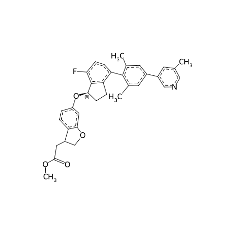 COC(=O)CC1COc2cc(O[C@@H]3CCc4c(-c5c(C)cc(-c6cncc(C)c6)cc5C)ccc(F)c43)ccc21